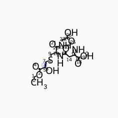 CCOC(=O)/C(O)=C/SCC(NC(=O)CC(N)C(=O)O)C(=O)NCC(=O)O